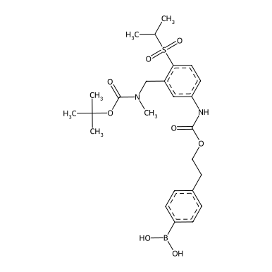 CC(C)S(=O)(=O)c1ccc(NC(=O)OCCc2ccc(B(O)O)cc2)cc1CN(C)C(=O)OC(C)(C)C